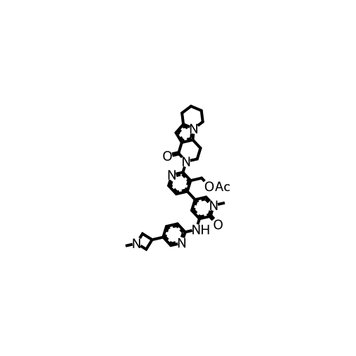 CC(=O)OCc1c(-c2cc(Nc3ccc(C4CN(C)C4)cn3)c(=O)n(C)c2)ccnc1N1CCc2c(cc3n2CCCC3)C1=O